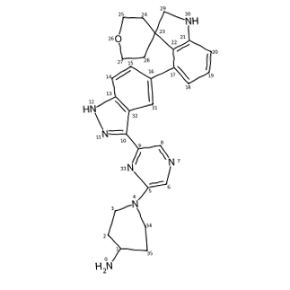 NC1CCN(c2cncc(-c3n[nH]c4ccc(-c5cccc6c5C5(CCOCC5)CN6)cc34)n2)CC1